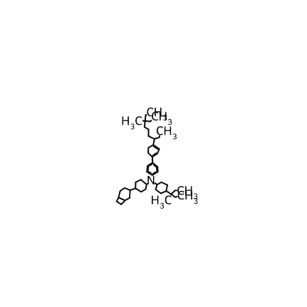 CCC(CCCC(C)(CC)CC)C1=CC=C(c2ccc(N(C3CCC(C4CCC5CCC5C4)CC3)C3CCC(C(C)(CC)CC)CC3)cc2)CC1